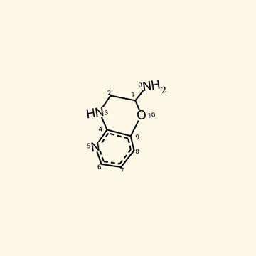 NC1CNc2ncccc2O1